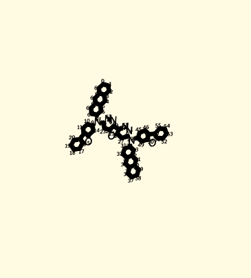 c1ccc2cc3cc(N(c4ccc5c(c4)oc4ccccc45)c4cc5oc6cc(N(c7ccc8cc9ccccc9cc8c7)c7ccc8c(c7)oc7ccccc78)nnc6c5nn4)ccc3cc2c1